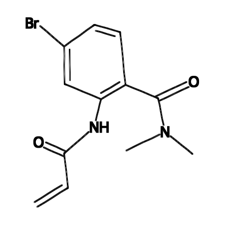 C=CC(=O)Nc1cc(Br)ccc1C(=O)N(C)C